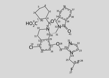 O=C(O)[C@@H]1CCCCC1C(=O)N1CCc2c(Cl)ccc(OCc3nccn3CC(F)F)c2[C@H]1CN1Cc2ccccc2C1=O